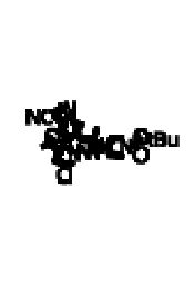 Cc1c(-c2cc(OC(C)c3cc(Cl)cnn3)c3c(C#N)cnn3c2)nnn1C1CCN(C(=O)OC(C)(C)C)CC1